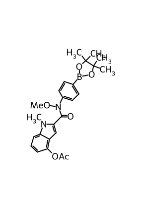 CON(C(=O)c1cc2c(OC(C)=O)cccc2n1C)c1ccc(B2OC(C)(C)C(C)(C)O2)cc1